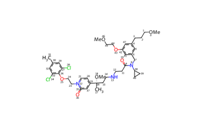 COCCCc1cc(CN(C(=O)CCNCC[C@](C)(OC)c2ccn(CCOc3c(Cl)cc(C)cc3Cl)c(=O)c2)C2CC2)cc(OCCOC)c1